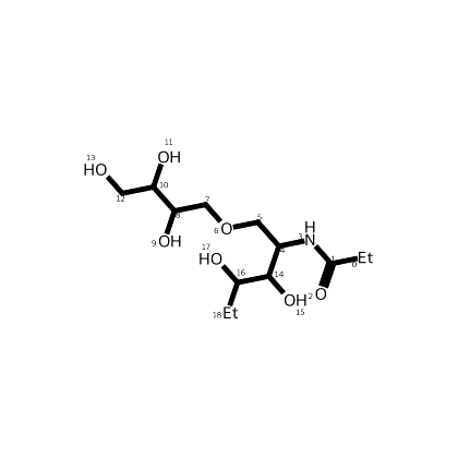 CCC(=O)NC(COCC(O)C(O)CO)C(O)C(O)CC